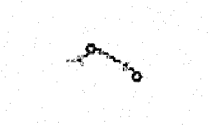 COC(=O)NCc1cccc(CNCOCCCOC(=O)NCc2ccccc2)c1